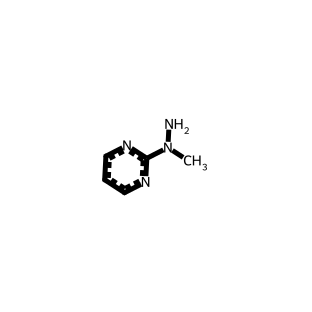 CN(N)c1ncccn1